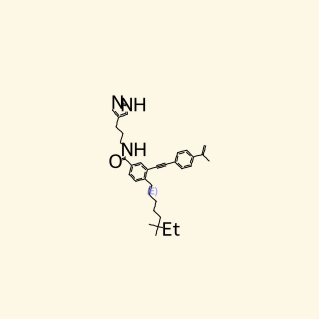 C=C(C)c1ccc(C#Cc2cc(C(=O)NCCCc3cn[nH]c3)ccc2/C=C/CCCC(C)(C)CC)cc1